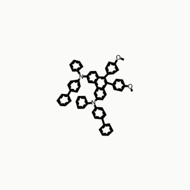 COc1ccc(-c2c(-c3ccc(OC)cc3)c3ccc(N(c4ccccc4)c4ccc(-c5ccccc5)cc4)cc3c3cc(N(c4ccccc4)c4ccc(-c5ccccc5)cc4)ccc23)cc1